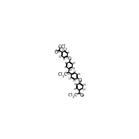 O=C(c1ccc(Oc2ccc(C(c3ccc(Oc4ccc(C(=O)C(Cl)(Cl)Cl)cc4)cc3)C(Cl)(Cl)Cl)cc2)cc1)C(Cl)(Cl)Cl